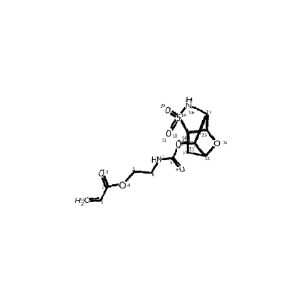 C=CC(=O)OCCNC(=O)OC1C2CC3C(O2)C1NS3(=O)=O